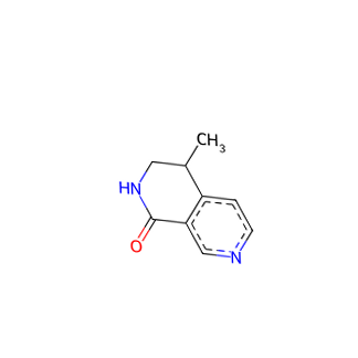 CC1CNC(=O)c2cnccc21